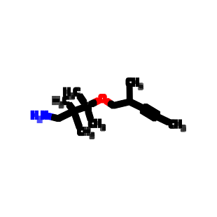 CC#CC(C)CO[Si](C)(C)C(C)(C)CN